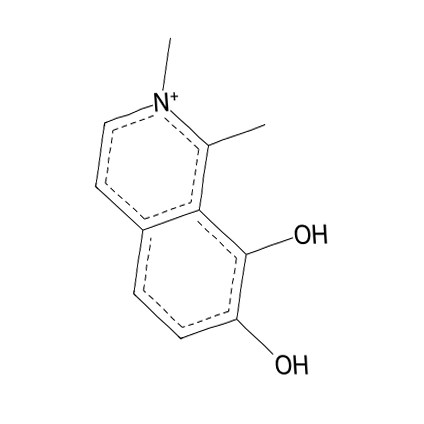 Cc1c2c(O)c(O)ccc2cc[n+]1C